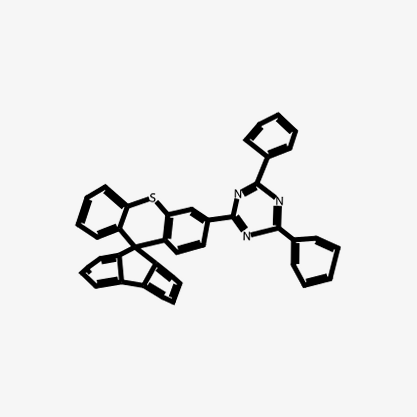 c1ccc(-c2nc(-c3ccccc3)nc(-c3ccc4c(c3)Sc3ccccc3C43c4ccccc4-c4ccccc43)n2)cc1